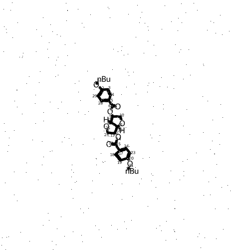 CCCCOc1ccc(C(=O)OC2CO[C@@H]3[C@@H](OC(=O)c4ccc(OCCCC)cc4)CO[C@H]23)cc1